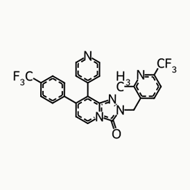 Cc1nc(C(F)(F)F)ccc1Cn1nc2c(-c3ccncc3)c(-c3ccc(C(F)(F)F)cc3)ccn2c1=O